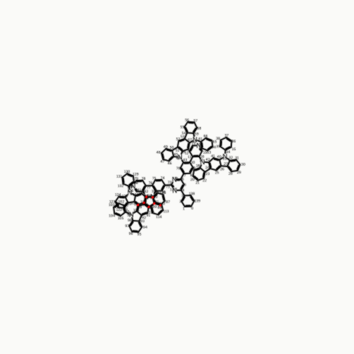 c1ccc(-c2cc(-c3ccc(-c4ccncc4-n4c5ccccc5c5cc6c7ccccc7n(-c7ccccc7)c6cc54)c(-n4c5ccccc5c5cc6c7ccccc7n(-c7ccccc7)c6cc54)c3)nc(-c3ccc(-c4ccncc4-n4c5ccccc5c5cc6c7ccccc7n(-c7ccccc7)c6cc54)c(-n4c5ccccc5c5cc6c7ccccc7n(-c7ccccc7)c6cc54)c3)n2)cc1